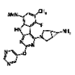 CNc1cc(C)c(F)c2c1[nH]c1nc(Oc3cncnc3)nc(N3CC4C(N)C4C3)c12